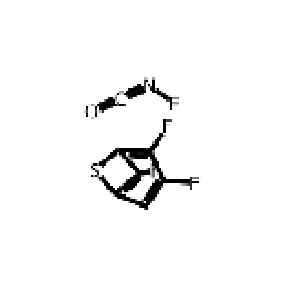 Fc1cc2c(F)c(c1F)S2.O=C=NF